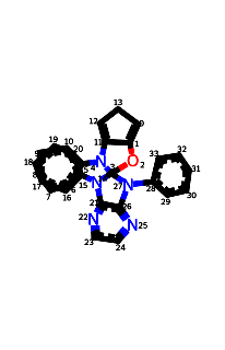 C1=C2OC3(N(c4ccccc4)C2=CC1)N(c1ccccc1)c1nccnc1N3c1ccccc1